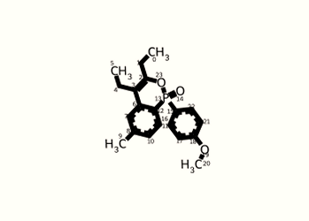 CCC1=C(CC)c2cc(C)ccc2P(=O)(c2ccc(OC)cc2)O1